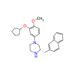 COc1ccc(N2CCN[C@@H](Cc3ccc4ccccc4c3)C2)cc1OC1CCCC1